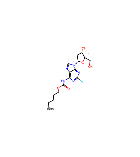 CCCCCCCCCCCCCCOC(=O)Nc1nc(F)nc2c1ncn2[C@H]1C[C@H](O)[C@@](C)(CO)O1